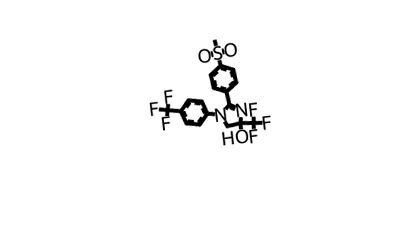 CS(=O)(=O)c1ccc(C2=NC(O)(C(F)(F)F)CN2c2ccc(C(F)(F)F)cc2)cc1